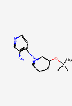 CC(C)(C)[Si](C)(C)O[C@@H]1CCCN(c2ccncc2N)C1